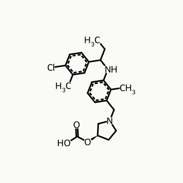 CCC(Nc1cccc(CN2CC[C@@H](OC(=O)O)C2)c1C)c1ccc(Cl)c(C)c1